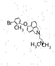 Cc1c(Br)cccc1COc1ccc2c3c(cccc13)CN(CCCN(C)C)C2